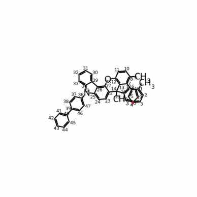 Cc1ccccc1-c1c(C)ccc2c1C(C)(c1ccccc1)c1ccc3c(c1O2)c1ccccc1n3-c1ccc(-c2ccccc2)cc1